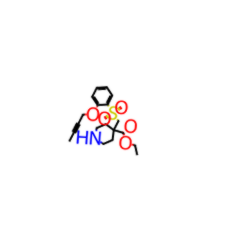 CC#CCOc1ccccc1S(=O)(=O)CC1(C(=O)OCC)CCNCC1